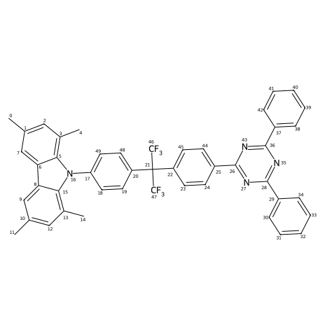 Cc1cc(C)c2c(c1)c1cc(C)cc(C)c1n2-c1ccc(C(c2ccc(-c3nc(-c4ccccc4)nc(-c4ccccc4)n3)cc2)(C(F)(F)F)C(F)(F)F)cc1